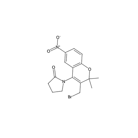 CC1(C)Oc2ccc([N+](=O)[O-])cc2C(N2CCCC2=O)=C1CBr